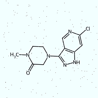 CN1CCN(c2n[nH]c3cc(Cl)ncc23)CC1=O